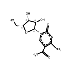 NC(=O)c1cn([C@@H]2O[C@H](CO)[C@H](O)[C@H]2O)c(=O)nc1N